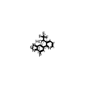 OC(c1cccnc1-c1cc(F)c2nonc2c1)C(F)(F)F